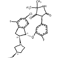 CC1(C)NC(=O)N(c2ccc(F)c(O[C@H]3c4cc(Cl)cc(F)c4C[C@@H]3N3CC[C@@H](O)C3)c2)C1=O